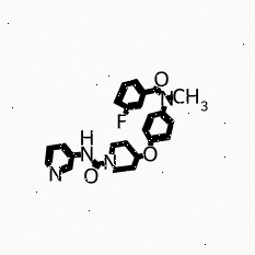 CN(C(=O)c1cccc(F)c1)c1ccc(OC2CCN(C(=O)Nc3cccnc3)CC2)cc1